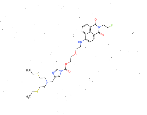 CCSCCN(CCSCC)Cc1cn(C(=O)OCCOCCNc2ccc3c4c(cccc24)C(=O)N(CCF)C3=O)cn1